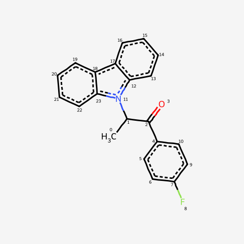 CC(C(=O)c1ccc(F)cc1)n1c2ccccc2c2ccccc21